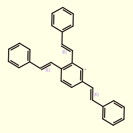 [c]1c(/C=C/c2ccccc2)ccc(/C=C/c2ccccc2)c1/C=C/c1ccccc1